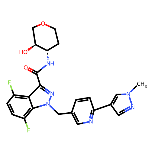 Cn1cc(-c2ccc(Cn3nc(C(=O)N[C@H]4CCOC[C@@H]4O)c4c(F)ccc(F)c43)cn2)cn1